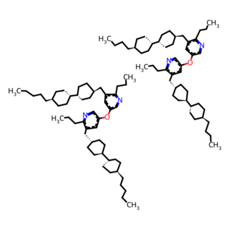 CCCCC[C@H]1CC[C@H]([C@H]2CC[C@H](Cc3cc(Oc4cnc(CCC)c(C[C@H]5CC[C@H]([C@H]6CC[C@H](CCCCC)CC6)CC5)c4)cnc3CCC)CC2)CC1.CCCC[C@H]1CC[C@H]([C@H]2CC[C@H](Cc3cc(Oc4cnc(CCC)c(C[C@H]5CC[C@H]([C@H]6CC[C@H](CCCC)CC6)CC5)c4)cnc3CCC)CC2)CC1